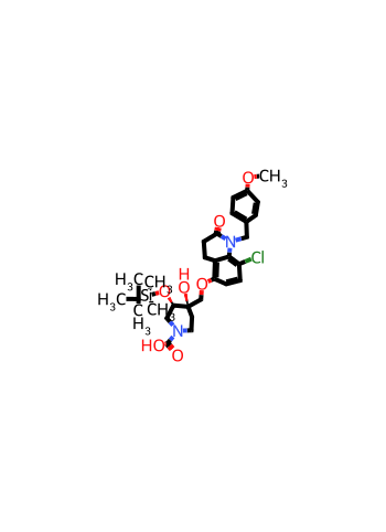 COc1ccc(CN2C(=O)CCc3c(OC[C@]4(O)CCN(C(=O)O)C[C@H]4O[Si](C)(C)C(C)(C)C)ccc(Cl)c32)cc1